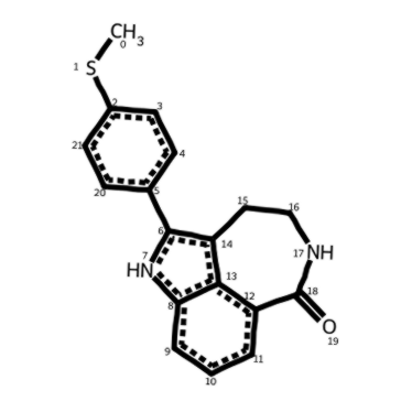 CSc1ccc(-c2[nH]c3cccc4c3c2CCNC4=O)cc1